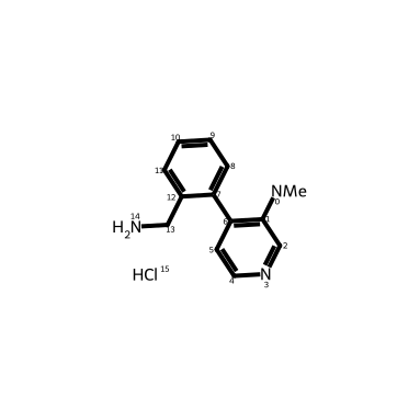 CNc1cnccc1-c1ccccc1CN.Cl